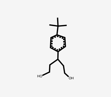 CC(C)(C)c1ccc(C(CCO)CCO)cc1